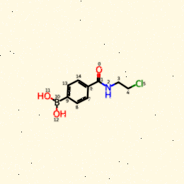 O=C(NCCCl)c1ccc(B(O)O)cc1